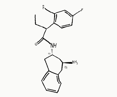 CCC(C(=O)N[C@H]1Cc2ccccc2[C@@H]1N)c1ccc(F)cc1F